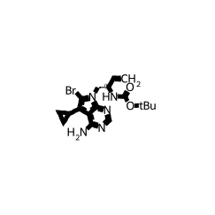 C=C[C@@H](Cn1c(Br)c(C2CC2)c2c(N)ncnc21)NC(=O)OC(C)(C)C